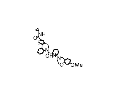 COc1ccc2c(c1)OCCN(c1cccc(C(O)N3CCc4cc(C(=O)NC5CC5)sc4-c4ccccc43)n1)C2